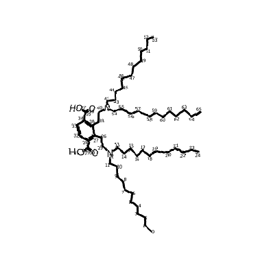 CCCCCCCCCCCCN(CCCCCCCCCCCC)CCc1c(C(=O)O)ccc(C(=O)O)c1CCN(CCCCCCCCCCCC)CCCCCCCCCCCC